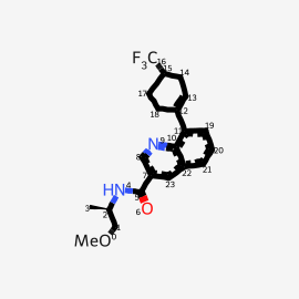 COC[C@@H](C)NC(=O)c1cnc2c(C3=CCC(C(F)(F)F)CC3)cccc2c1